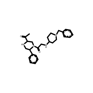 CC(=O)C1CN(C(=O)CNC2CCN(Cc3ccccc3)CC2)C(c2ccccc2)CN1